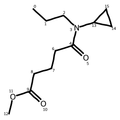 CCCN(C(=O)CCCC(=O)OC)C1CC1